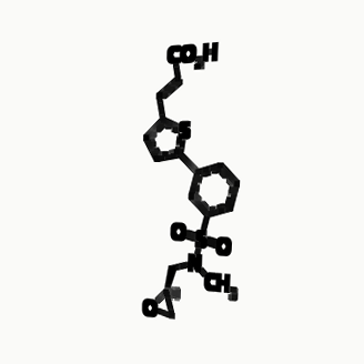 CN(C[C@H]1CO1)S(=O)(=O)c1cccc(-c2ccc(C=CC(=O)O)s2)c1